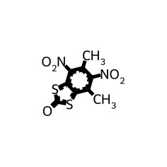 Cc1c([N+](=O)[O-])c(C)c2sc(=O)sc2c1[N+](=O)[O-]